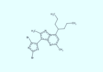 CCCC(CCC)c1cc(C)nc2c(-c3sc(Br)nc3Br)c(C)nn12